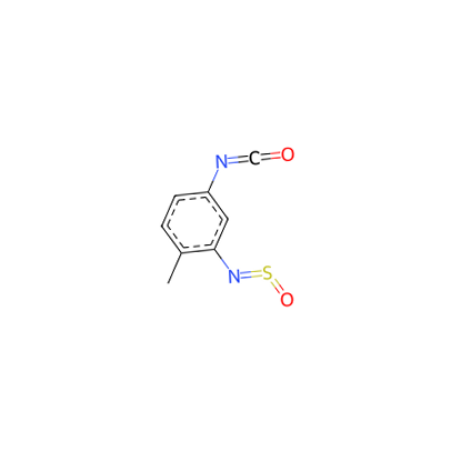 Cc1ccc(N=C=O)cc1N=S=O